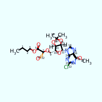 CCCCOC(=O)C(OC[C@H]1O[C@@H](n2cnc3c(OC)nc(Cl)nc32)[C@@H]2OC(C)(C)O[C@@H]21)P=O